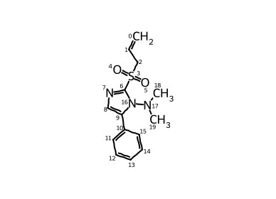 C=CCS(=O)(=O)c1ncc(-c2ccccc2)n1N(C)C